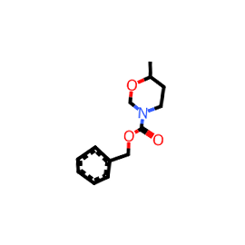 CC1CCN(C(=O)OCc2ccccc2)CO1